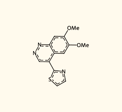 COc1cc2nncc(-c3nccs3)c2cc1OC